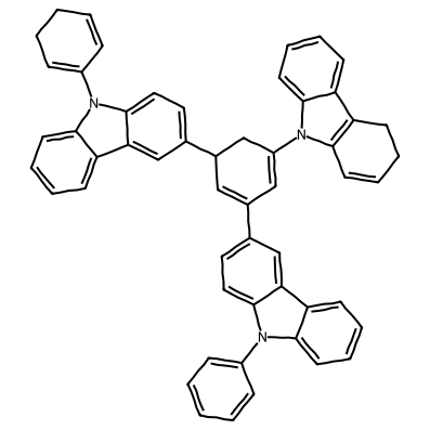 C1=CC(n2c3ccccc3c3cc(C4C=C(c5ccc6c(c5)c5ccccc5n6-c5ccccc5)C=C(n5c6c(c7ccccc75)CCC=C6)C4)ccc32)=CCC1